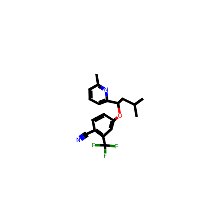 Cc1cccc(C(CC(C)C)Oc2ccc(C#N)c(C(F)(F)F)c2)n1